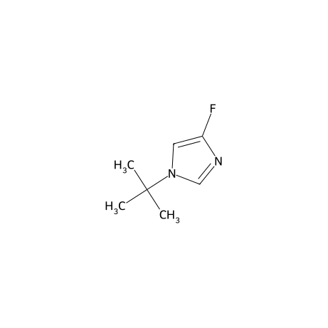 CC(C)(C)n1cnc(F)c1